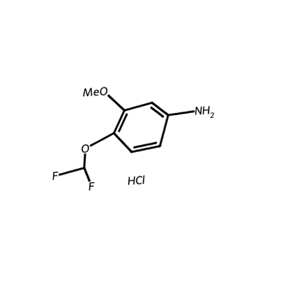 COc1cc(N)ccc1OC(F)F.Cl